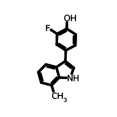 Cc1cccc2c(-c3ccc(O)c(F)c3)c[nH]c12